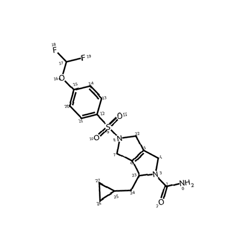 NC(=O)N1CC2=C(CN(S(=O)(=O)c3ccc(OC(F)F)cc3)C2)C1CC1CC1